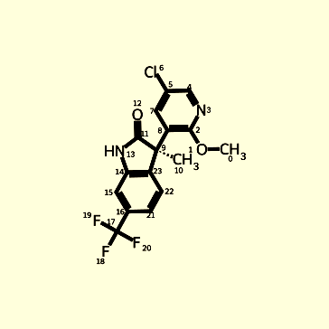 COc1ncc(Cl)cc1[C@]1(C)C(=O)Nc2cc(C(F)(F)F)ccc21